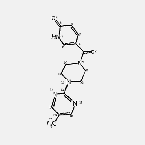 O=C(c1ccc(=O)[nH]c1)N1CCN(c2ncc(C(F)(F)F)cn2)CC1